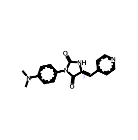 CN(C)c1ccc(N2C(=O)N/C(=C\c3ccncc3)C2=O)cc1